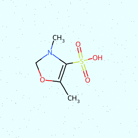 CC1=C(S(=O)(=O)O)N(C)CO1